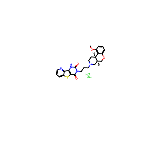 COc1cccc2c1[C@H]1CCN(CCCn3c(=O)[nH]c4c(sc5cccnc54)c3=O)C[C@@H]1CO2.Cl.Cl